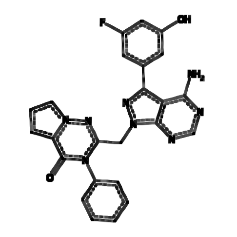 Nc1ncnc2c1c(-c1cc(O)cc(F)c1)nn2Cc1nn2cccc2c(=O)n1-c1ccccc1